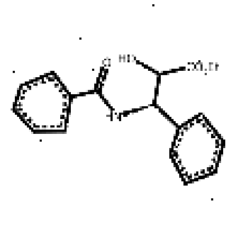 CCOC(=O)C(O)[C@H](NC(=O)c1ccccc1)c1ccccc1